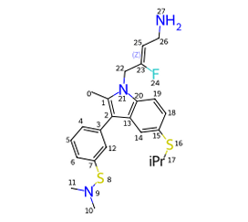 Cc1c(-c2cccc(SN(C)C)c2)c2cc(SC(C)C)ccc2n1C/C(F)=C/CN